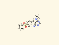 CC(C)(C)n1cc(-c2ccc(S(=O)(=O)c3ccccc3)cc2)c2c(N)ncnc21